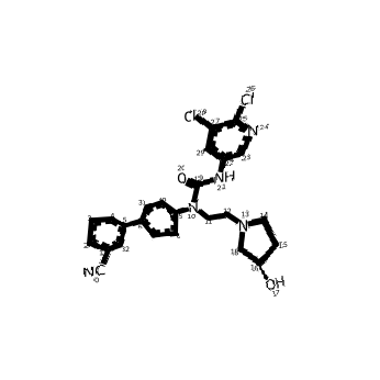 N#Cc1cccc(-c2ccc(N(CCN3CC[C@@H](O)C3)C(=O)Nc3cnc(Cl)c(Cl)c3)cc2)c1